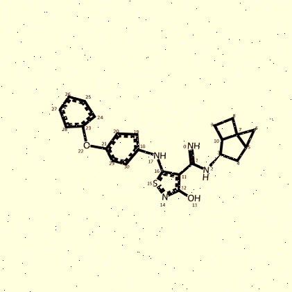 N=C(N[C@@H]1CC2CC23CCC13)c1c(O)nsc1Nc1ccc(Oc2ccccc2)cc1